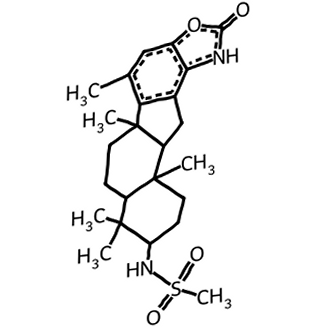 Cc1cc2oc(=O)[nH]c2c2c1C1(C)CCC3C(C)(C)C(NS(C)(=O)=O)CCC3(C)C1C2